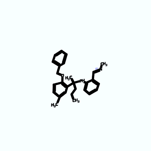 CCCC(C)(Pc1ccccc1/C=N/C)c1cc(C)ccc1OCc1ccccc1